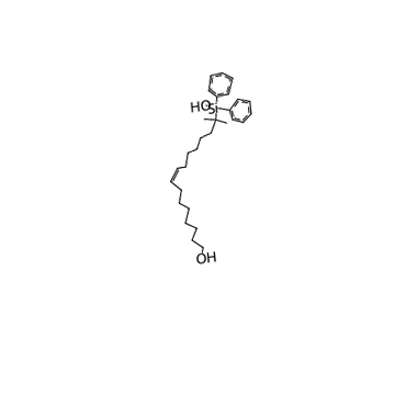 CC(C)(CCCCC/C=C\CCCCCCCO)[Si](O)(c1ccccc1)c1ccccc1